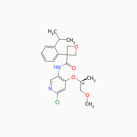 COC[C@H](C)Oc1cc(Cl)ncc1NC(=O)C1(c2ccccc2C(C)C)COC1